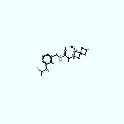 O=C(NCc1ccnc(OC(F)F)c1)N[C@@H]1CC2(CCC2)[C@@H]1O